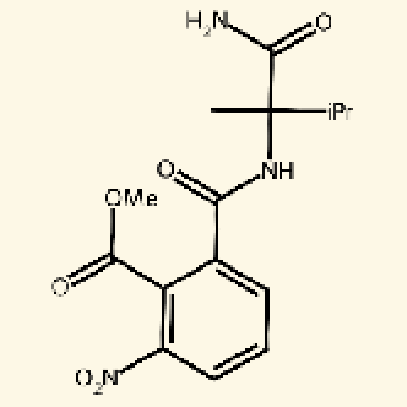 COC(=O)c1c(C(=O)NC(C)(C(N)=O)C(C)C)cccc1[N+](=O)[O-]